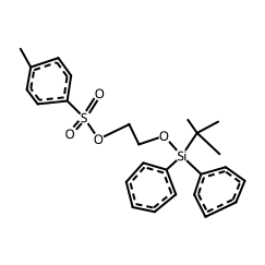 Cc1ccc(S(=O)(=O)OCCO[Si](c2ccccc2)(c2ccccc2)C(C)(C)C)cc1